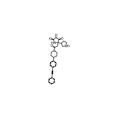 O=C1NC(=O)C(CC(=O)N2CCC(c3ccc(C#Cc4ccccc4)cc3)CC2)(C2CCNC2)N1